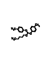 CCCCCOP(Oc1ccc(C)cc1)Oc1ccc(C)cc1